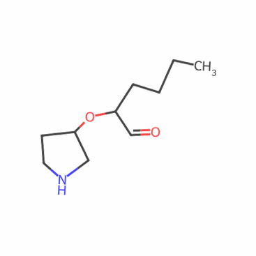 CCCCC(C=O)OC1CCNC1